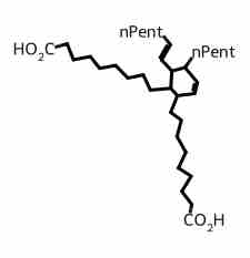 CCCCC/C=C/C1C(CCCCC)C=CC(CCCCCCCCC(=O)O)C1CCCCCCCCC(=O)O